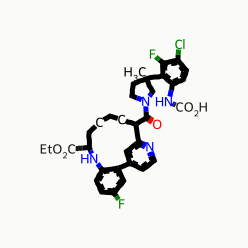 CCOC(=O)C1CCCCC(C(=O)N2CCC(C)(c3c(NC(=O)O)ccc(Cl)c3F)C2)c2cc(ccn2)-c2cc(F)ccc2N1